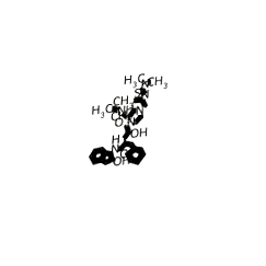 CN(C)c1nc(CN2CCN(C[C@@H](O)C[C@@H](Cc3ccccc3)C(=O)N[C@H]3c4ccccc4C[C@H]3O)[C@H](C(=O)NC(C)(C)C)C2)cs1